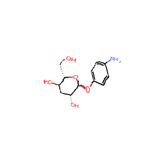 Nc1ccc(O[C@@H]2O[C@@H](CO)[C@H](O)C[C@H]2O)cc1